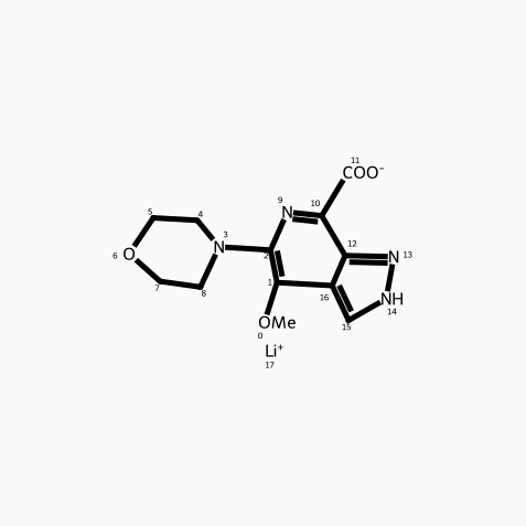 COc1c(N2CCOCC2)nc(C(=O)[O-])c2n[nH]cc12.[Li+]